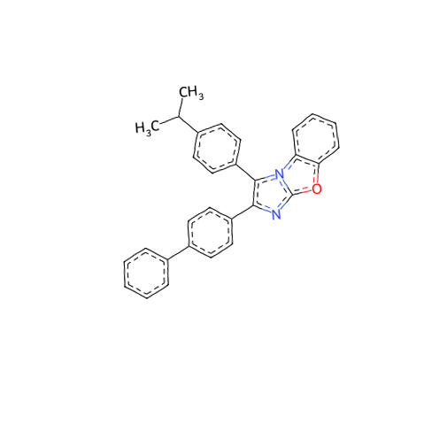 CC(C)c1ccc(-c2c(-c3ccc(-c4ccccc4)cc3)nc3oc4ccccc4n23)cc1